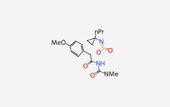 CCCC1(N=S(=O)=O)CC1.CNC(=O)NC(=O)Cc1ccc(OC)cc1